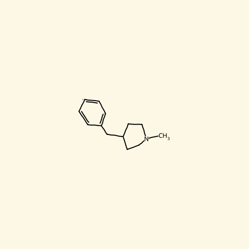 CN1CCC(Cc2cc[c]cc2)CC1